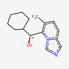 O[C@H](c1c(C(F)(F)F)ccc2cncn12)C1CCCCC1